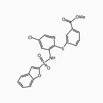 COC(=O)c1cccc(Sc2ncc(Cl)cc2NS(=O)(=O)c2cc3ccccc3o2)c1